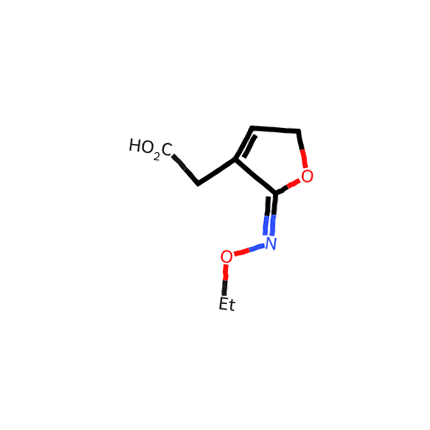 CCON=C1OCC=C1CC(=O)O